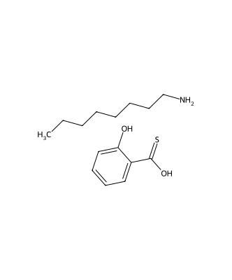 CCCCCCCCN.OC(=S)c1ccccc1O